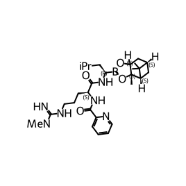 CNC(=N)NCCC[C@H](NC(=O)c1ccccn1)C(=O)N[C@@H](CC(C)C)B1O[C@@H]2C[C@@H]3C[C@@H](C3(C)C)[C@]2(C)O1